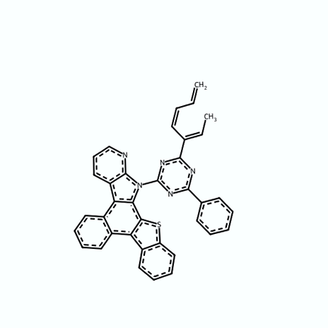 C=C/C=C\C(=C/C)c1nc(-c2ccccc2)nc(-n2c3ncccc3c3c4ccccc4c4c5ccccc5sc4c32)n1